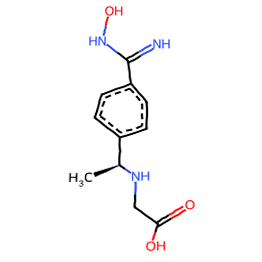 C[C@H](NCC(=O)O)c1ccc(C(=N)NO)cc1